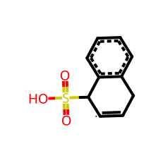 O=S(=O)(O)C1[C]=CCc2ccccc21